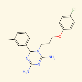 Cc1cccc(C2N=C(N)N=C(N)N2CCCOc2ccc(Cl)cc2)c1